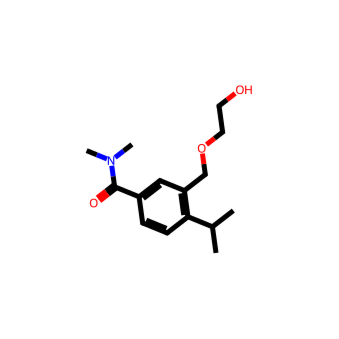 CC(C)c1ccc(C(=O)N(C)C)cc1COCCO